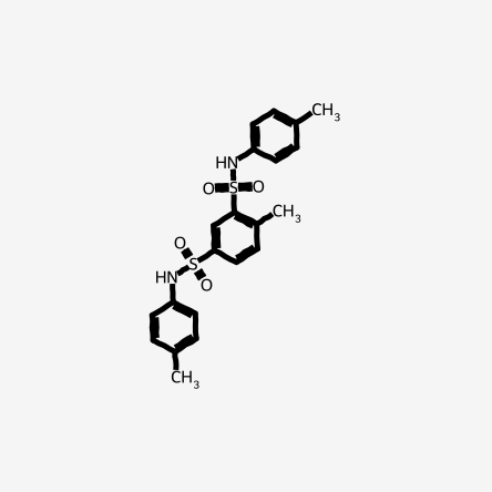 Cc1ccc(NS(=O)(=O)c2ccc(C)c(S(=O)(=O)Nc3ccc(C)cc3)c2)cc1